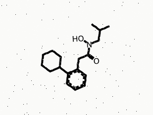 CC(C)CN(O)C(=O)Cc1ccc[c]c1C1CCCCC1